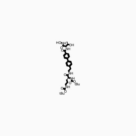 C[C@@H](O)[C@H](NC(=O)c1ccc(-c2ccc(CCNC(=O)[C@H](CCCNC(=O)OC(C)(C)C)NC(=O)OC(C)(C)C)cc2)cc1)C(=O)NO